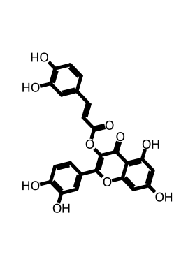 O=C(C=Cc1ccc(O)c(O)c1)Oc1c(-c2ccc(O)c(O)c2)oc2cc(O)cc(O)c2c1=O